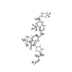 [2H]C([2H])([2H])n1c(=O)n([C@@H]2CC[C@@H](NC(=O)OC)C2)c2cc(Nc3ccc4cc(NC5CCC(F)(F)C5)cc(C(F)(F)F)c4n3)ncc21